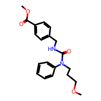 COCCCN(C(=O)NCc1ccc(C(=O)OC)cc1)c1ccccc1